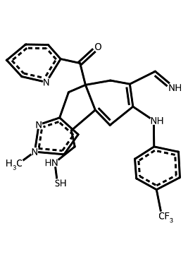 Cn1ccc(CC2(C(=O)c3ccccn3)CC(C=N)=C(Nc3ccc(C(F)(F)F)cc3)C=C2CCNS)n1